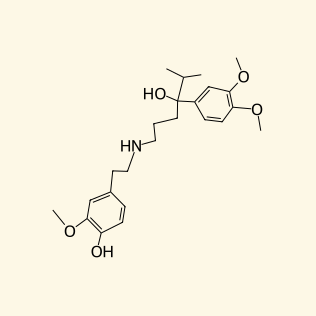 COc1cc(CCNCCCC(O)(c2ccc(OC)c(OC)c2)C(C)C)ccc1O